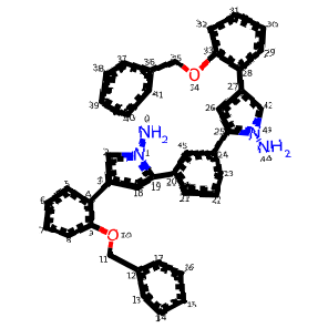 Nn1cc(-c2ccccc2OCc2ccccc2)cc1-c1cccc(-c2cc(-c3ccccc3OCc3ccccc3)cn2N)c1